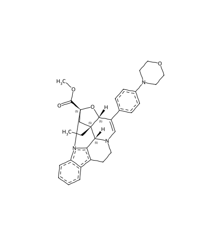 CC[C@@]12C[C@@]3(C(=O)OC)O[C@@H]1C(c1ccc(N4CCOCC4)cc1)=CN1CCc4c(n3c3ccccc43)[C@@H]12